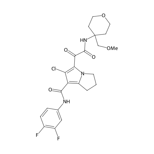 COCC1(NC(=O)C(=O)c2c(Cl)c(C(=O)Nc3ccc(F)c(F)c3)c3n2CCC3)CCOCC1